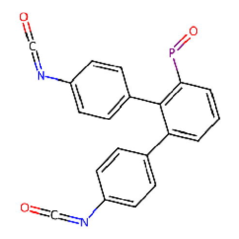 O=C=Nc1ccc(-c2cccc(P=O)c2-c2ccc(N=C=O)cc2)cc1